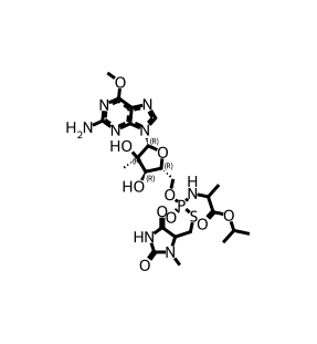 COc1nc(N)nc2c1ncn2[C@@H]1O[C@H](COP(=O)(NC(C)C(=O)OC(C)C)SCC2C(=O)NC(=O)N2C)[C@@H](O)[C@@]1(C)O